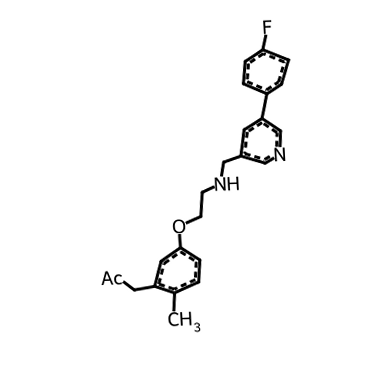 CC(=O)Cc1cc(OCCNCc2cncc(-c3ccc(F)cc3)c2)ccc1C